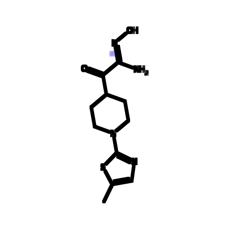 Cc1cnc(N2CCC(C(=O)/C(N)=N/O)CC2)s1